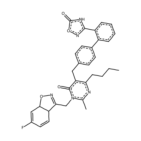 CCCCc1nc(C)n(CC2=NOC3C=C(F)C=CC23)c(=O)c1Cc1ccc(-c2ccccc2-c2noc(=O)[nH]2)cc1